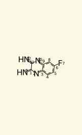 N=C1N=c2ccc(F)cc2=NC1=N